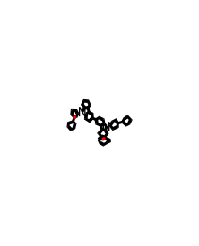 C1=CC2C3C=CC1c1cc4c5cc(-c6ccc7c(c6)c6ccccc6n7-c6cccc(-c7ccccc7)c6)ccc5n(-c5ccc(-c6ccccc6)cc5)c4cc1C23